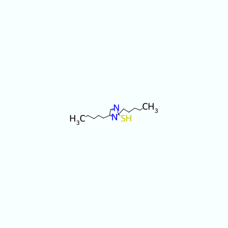 CCCCCC1=NC(S)(CCCCC)N=C1